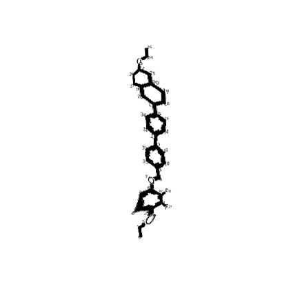 CCOc1ccc(OCc2ccc(-c3ccc(C4CCC5CC(OCC)CCC5C4)cc3)cc2)c(F)c1F